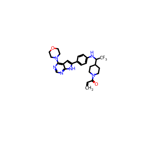 C=CC(=O)N1CCC(C(Nc2ccc(-c3cc4c(N5CCOCC5)ncnc4[nH]3)cc2)C(F)(F)F)CC1